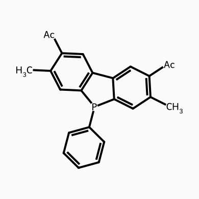 CC(=O)c1cc2c3cc(C(C)=O)c(C)cc3p(-c3ccccc3)c2cc1C